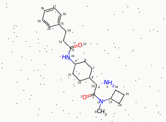 CN(C(=O)[C@@H](N)C1CCC(NC(=O)CCc2ccccc2)CC1)C1CCC1